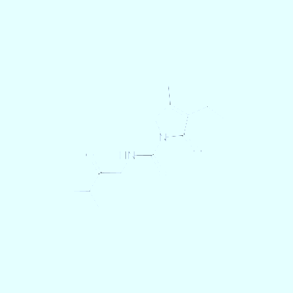 CCC1=C(C)CN(C(=O)NCC(=O)C(C)C)C1=O